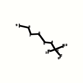 FC(F)(F)CC[CH]CCI